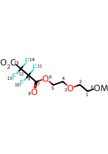 COCCOCCOC(=O)C(F)(F)C(F)(F)C(=O)O